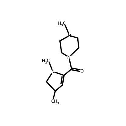 CC1C=C(C(=O)N2CCN(C)CC2)N(C)C1